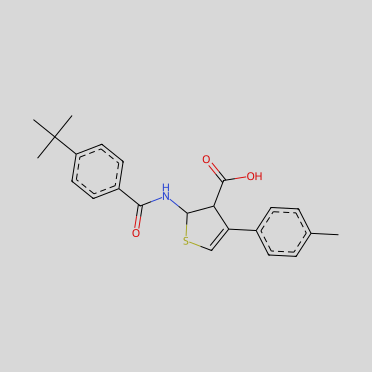 Cc1ccc(C2=CSC(NC(=O)c3ccc(C(C)(C)C)cc3)C2C(=O)O)cc1